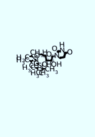 CC(C)[Si]1(C(C)C)OC[C@H]2O[C@@H](n3ccc(=O)[nH]c3=O)[C@H](O)[C@@H]2O[Si](C(C)C)(C(C)C)O1